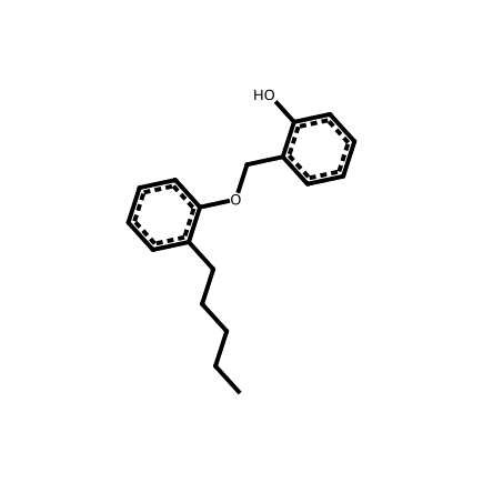 CCCCCc1ccccc1OCc1ccccc1O